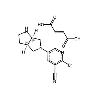 N#Cc1cc(N2C[C@H]3CCN[C@H]3C2)cnc1Br.O=C(O)C=CC(=O)O